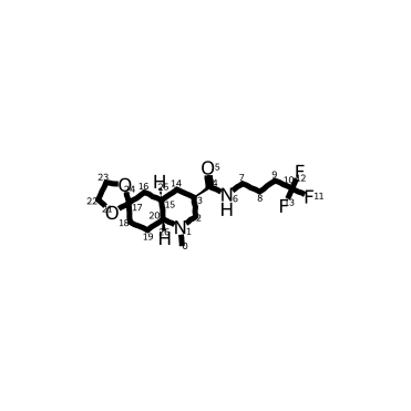 CN1C[C@H](C(=O)NCCCC(F)(F)F)C[C@@H]2CC3(CC[C@H]21)OCCO3